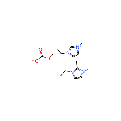 CCn1cc[n+](C)c1.CCn1cc[n+](C)c1C.COC(=O)O